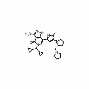 Cn1nc(-c2cn(C(C3CC3)C3CC3)c(=O)c3c(N)n[nH]c23)cc1N1CCC[C@@H]1CN1CCCC1